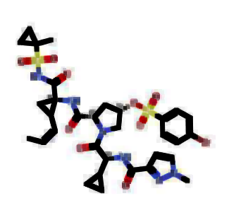 C/C=C\C1C[C@]1(NC(=O)[C@@H]1C[C@H](OS(=O)(=O)c2ccc(Br)cc2)CN1C(=O)[C@@H](NC(=O)c1ccn(C)n1)C1CC1)C(=O)NS(=O)(=O)C1(C)CC1